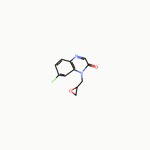 O=c1cnc2ccc(F)cc2n1CC1CO1